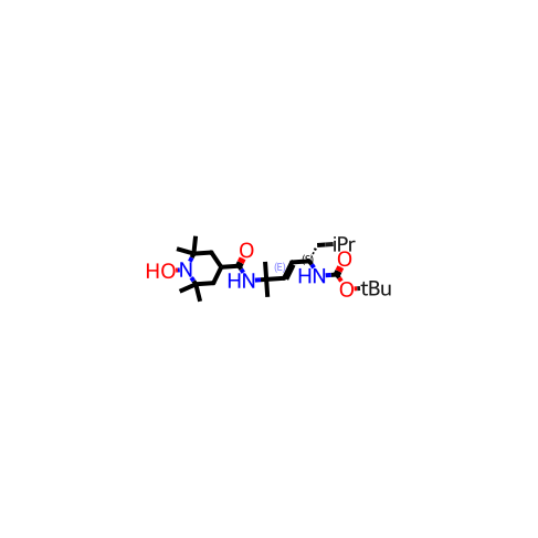 CC(C)C[C@@H](/C=C/C(C)(C)NC(=O)C1CC(C)(C)N(O)C(C)(C)C1)NC(=O)OC(C)(C)C